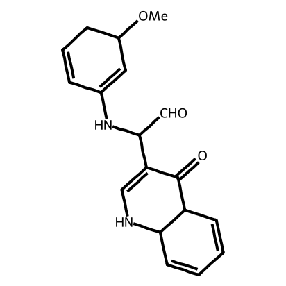 COC1C=C(NC(C=O)C2=CNC3C=CC=CC3C2=O)C=CC1